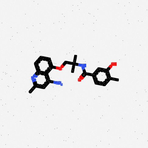 Cc1cc(N)c2c(OCC(C)(C)NC(=O)c3ccc(C)c(O)c3)cccc2n1